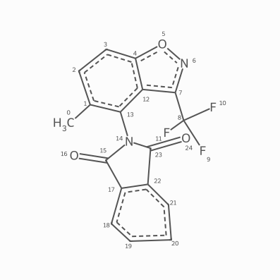 Cc1ccc2onc(C(F)(F)F)c2c1N1C(=O)c2ccccc2C1=O